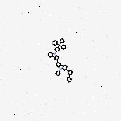 c1ccc(-c2cccc(-c3ccc4c5cc(-c6ccc7c(c6)c6ccccc6n7-c6ccc([Si](c7ccccc7)(c7ccccc7)c7ccccc7)cc6)ccc5n(-c5ccccc5)c4c3)c2)cc1